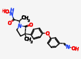 CC(C(=O)NO)N1CCC(C)(c2ccc(Oc3cccc(C=NO)c3)cc2)C1=O